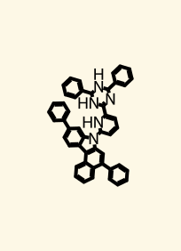 C1=CC(n2c3cc(-c4ccccc4)ccc3c3c4ccccc4c(-c4ccccc4)cc32)NC(C2=NC(c3ccccc3)NC(c3ccccc3)N2)=C1